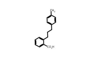 Cc1ccc(CCCc2ccccc2C(=O)O)cc1